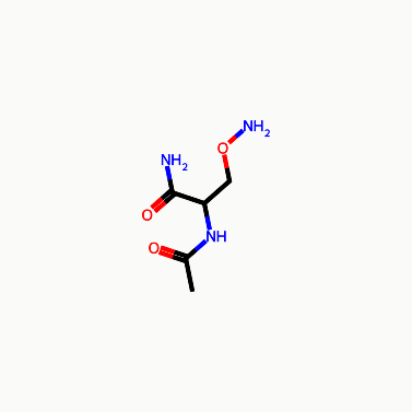 CC(=O)NC(CON)C(N)=O